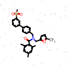 Cc1cc(C)c(C(=O)N(Cc2ccc(-c3cccc(S(C)(=O)=O)c3)cc2)Cc2ccc(C(F)(F)F)o2)c(C)c1